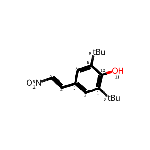 CC(C)(C)c1cc(/C=C/[N+](=O)[O-])cc(C(C)(C)C)c1O